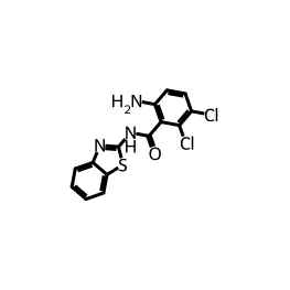 Nc1ccc(Cl)c(Cl)c1C(=O)Nc1nc2ccccc2s1